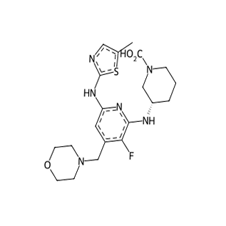 Cc1cnc(Nc2cc(CN3CCOCC3)c(F)c(N[C@H]3CCCN(C(=O)O)C3)n2)s1